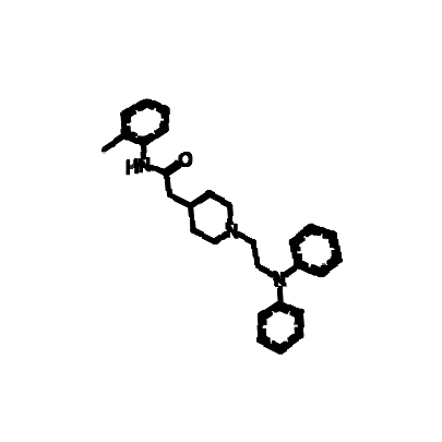 Cc1ccccc1NC(=O)CC1CCN(CCN(c2ccccc2)c2ccccc2)CC1